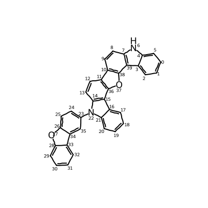 c1ccc2c(c1)[nH]c1ccc3c4ccc5c(c6ccccc6n5-c5ccc6oc7ccccc7c6c5)c4oc3c12